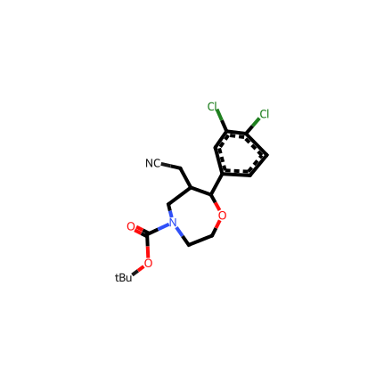 CC(C)(C)OC(=O)N1CCOC(c2ccc(Cl)c(Cl)c2)C(CC#N)C1